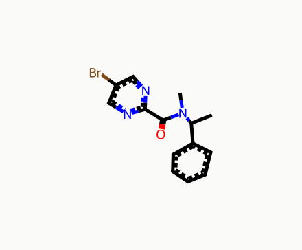 CC(c1ccccc1)N(C)C(=O)c1ncc(Br)cn1